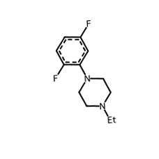 CCN1CCN(c2cc(F)ccc2F)CC1